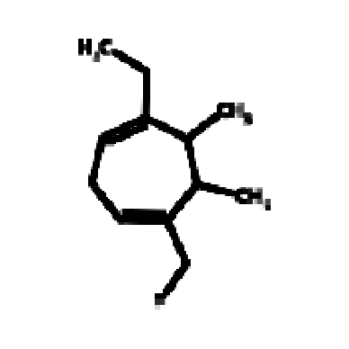 CCC1=CCC=C(CF)C(C)C1C